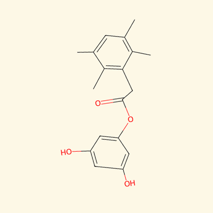 Cc1cc(C)c(C)c(CC(=O)Oc2cc(O)cc(O)c2)c1C